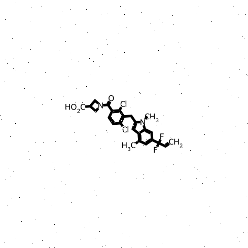 C=CC(F)(F)c1cc(C)c2cc(Cc3c(Cl)ccc(C(=O)N4CC(C(=O)O)C4)c3Cl)n(C)c2c1